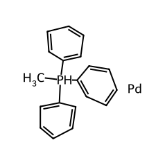 C[PH](c1ccccc1)(c1ccccc1)c1ccccc1.[Pd]